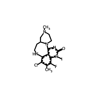 Cc1c(Cl)c2c3c(nc(=O)n(I)c3c1F)N1CCN(C)CC1CCN2